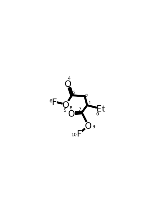 CCC(CC(=O)OF)C(=O)OF